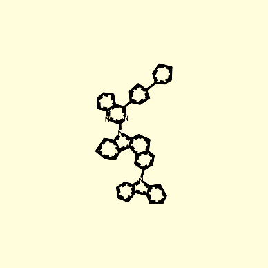 c1ccc(-c2ccc(-c3nc(-n4c5ccccc5c5c6cc(-n7c8ccccc8c8ccccc87)ccc6ccc54)nc4ccccc34)cc2)cc1